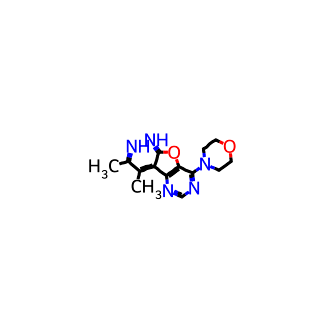 CC(=N)/C(C)=C1\C(=N)Oc2c1ncnc2N1CCOCC1